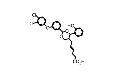 O=C(O)CCC=CCC1COC(c2cccc(Oc3ccc(Cl)c(Cl)c3)c2)OC1c1ccccc1O